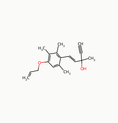 C#CC(C)(O)C=Cc1c(C)cc(OCC=C)c(C)c1C